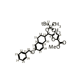 COC(=O)c1cnc(C(O[Si](C)(C)C(C)(C)C)C2CCc3cc(OCc4ccccc4)ccc3C2)o1